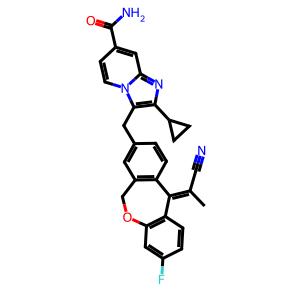 CC(C#N)=C1c2ccc(Cc3c(C4CC4)nc4cc(C(N)=O)ccn34)cc2COc2cc(F)ccc21